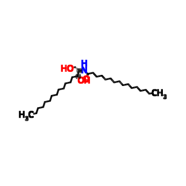 CCCCCCCCCCCCCCCC(=O)N[C@@H](CO)[C@H](O)CCCCCCCCCCCCC